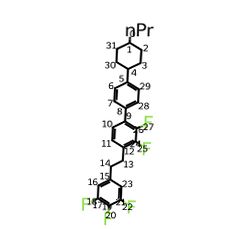 CCCC1CCC(c2ccc(-c3ccc(CCc4cc(F)c(F)c(F)c4)c(F)c3F)cc2)CC1